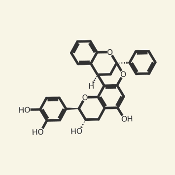 Oc1ccc([C@H]2Oc3c(c(O)cc4c3[C@@H]3C[C@@](c5ccccc5)(Oc5ccccc53)O4)C[C@@H]2O)cc1O